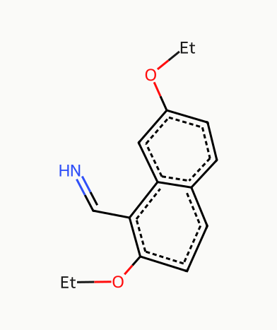 CCOc1ccc2ccc(OCC)c(C=N)c2c1